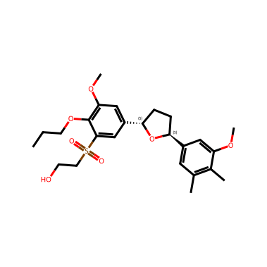 CCCOc1c(OC)cc([C@@H]2CC[C@@H](c3cc(C)c(C)c(OC)c3)O2)cc1S(=O)(=O)CCO